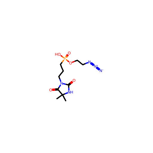 CC1(C)NC(=O)N(CCCP(=O)(O)OCCN=[N+]=[N-])C1=O